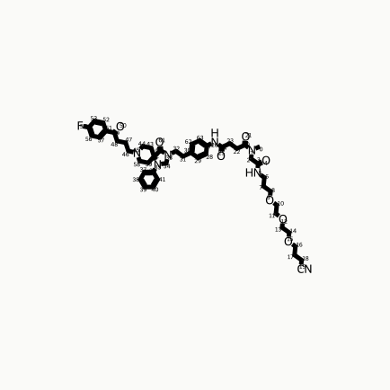 CN(CC(=O)NCCCOCCOCCOCCCC#N)C(=O)CCC(=O)Nc1ccc(CCN2CN(c3ccccc3)C3(CCN(CCCC(=O)c4ccc(F)cc4)CC3)C2=O)cc1